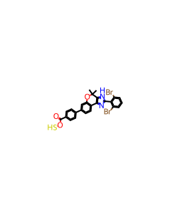 CC1(C)Oc2cc(-c3ccc(C(=O)OS)cc3)ccc2-c2nc(-c3c(Br)cccc3Br)[nH]c21